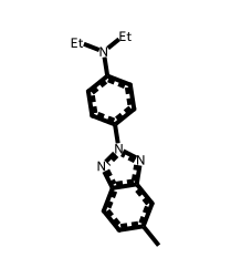 CCN(CC)c1ccc(-n2nc3ccc(C)cc3n2)cc1